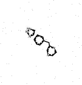 c1c[nH]nn1.c1ccc(Cc2cnccn2)cc1